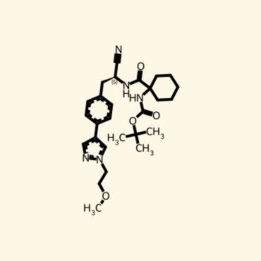 COCCn1cc(-c2ccc(C[C@@H](C#N)NC(=O)C3(NC(=O)OC(C)(C)C)CCCCC3)cc2)cn1